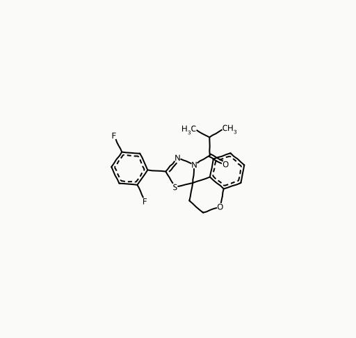 CC(C)C(=O)N1N=C(c2cc(F)ccc2F)SC12CCOc1ccccc12